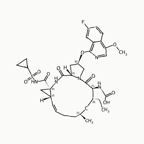 CC[C@@H]1C[C@@H](C)CCC=C[C@@H]2C[C@@]2(C(=O)NS(=O)(=O)C2CC2)NC(=O)[C@@H]2C[C@@H](Oc3ncc(OC)c4ccc(F)cc34)CN2C(=O)[C@H]1NC(=O)O